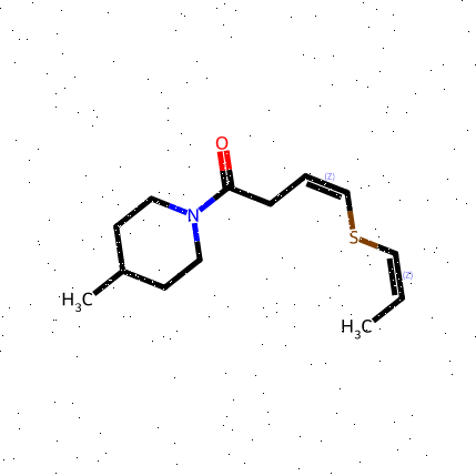 C/C=C\S/C=C\CC(=O)N1CCC(C)CC1